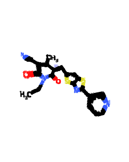 CCN1C(=O)C(C#N)=C(C)/C(=C/c2cc3sc(-c4cccnc4)nc3s2)C1=O